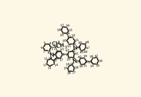 CC1(C)c2ccccc2-n2c3ccccc3c3cc(-c4cc(N(c5ccccc5)c5ccc(-c6ccccc6)cc5)cc(N(c5ccccc5)c5ccc(-c6ccccc6)cc5)c4)cc1c32